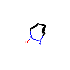 [O]N1C=CC=CN1